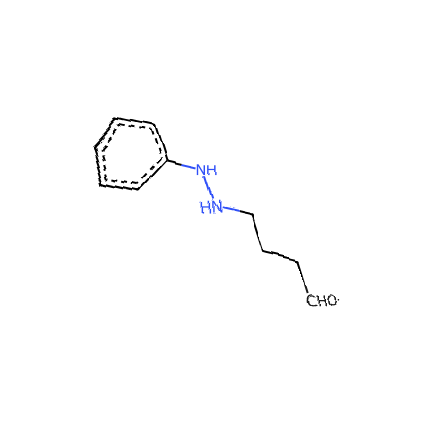 O=[C]CCCNNc1ccccc1